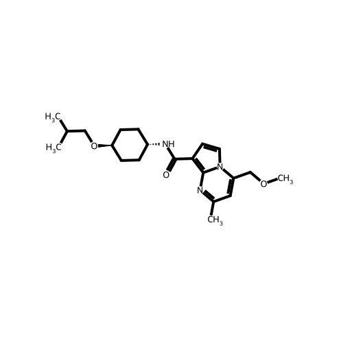 COCc1cc(C)nc2c(C(=O)N[C@H]3CC[C@H](OCC(C)C)CC3)ccn12